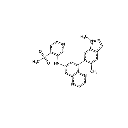 Cc1cc2ccn(C)c2cc1-c1cc(Nc2cnccc2S(C)(=O)=O)cc2nccnc12